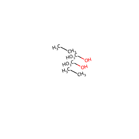 CC.CC.O=C(O)O.O=C(O)O